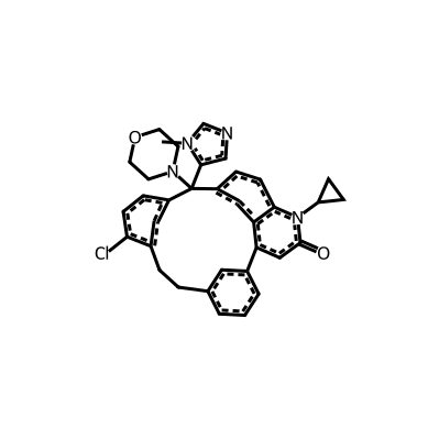 Cn1cncc1C1(N2CCOCC2)c2ccc(Cl)c(c2)CCc2cccc(c2)-c2cc(=O)n(C3CC3)c3ccc1cc23